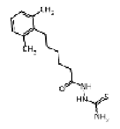 Cc1cccc(C)c1CCCCCC(=O)NNC(N)=S